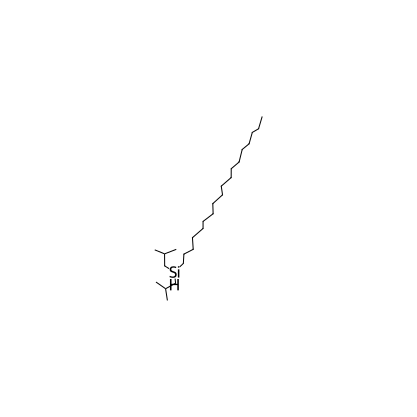 CCCCCCCCCCCCCCCCCC[SiH](CC(C)C)CC(C)C